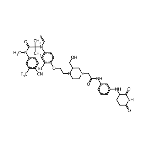 CCc1cc(N(C=S)C(C)(C)C(=O)N(C)c2ccc(C#N)c(C(F)(F)F)c2)ccc1OCCN1CCN(CC(=O)Nc2cccc(NC3CCC(=O)NC3=O)c2)CC1CO